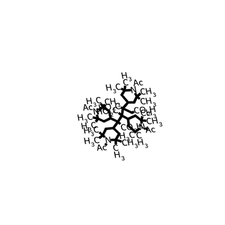 CC(=O)N1C(C)(C)CC(C(CC(=O)O)(C(=O)O)C(C(=O)O)(C2CC(C)(C)N(C(C)=O)C(C)(C)C2)C(C(=O)O)(C2CC(C)(C)N(C(C)=O)C(C)(C)C2)C2CC(C)(C)N(C(C)=O)C(C)(C)C2)CC1(C)C